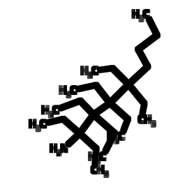 CCCCC(CC)(CC)C(CC)(CC)C(CC)(CC)C(N)(CC)CC